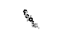 NC(=S)NN=Cc1cc(F)c(N2CCN(CC3CCCO3)CC2)c(F)c1